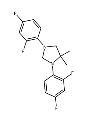 CC1(C)CN(c2ccc(F)cc2F)CN1c1ccc(F)cc1F